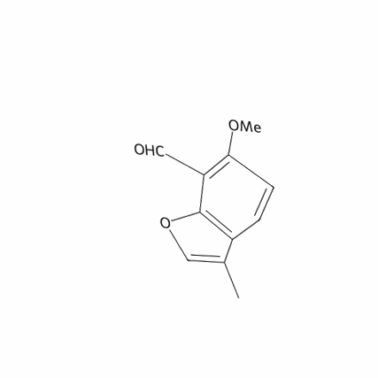 COc1ccc2c(C)coc2c1C=O